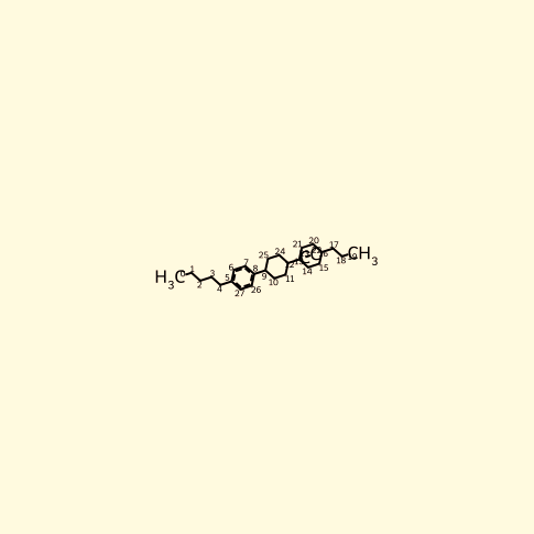 CCCCCc1ccc(C2CCC(C34CCC(CCC)(CC3)CC4)CC2)cc1